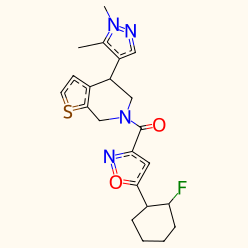 Cc1c(C2CN(C(=O)c3cc(C4CCCCC4F)on3)Cc3sccc32)cnn1C